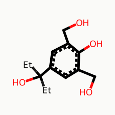 CCC(O)(CC)c1cc(CO)c(O)c(CO)c1